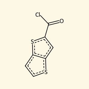 O=C(Cl)c1cc2sccc2s1